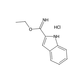 CCOC(=N)c1cc2ccccc2[nH]1.Cl